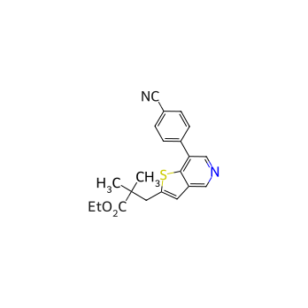 CCOC(=O)C(C)(C)Cc1cc2cncc(-c3ccc(C#N)cc3)c2s1